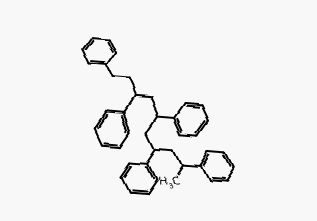 CC(CC(CC(CC(CCc1ccccc1)c1ccccc1)c1ccccc1)c1ccccc1)c1ccccc1